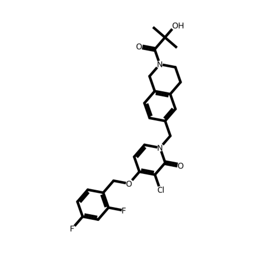 CC(C)(O)C(=O)N1CCc2cc(Cn3ccc(OCc4ccc(F)cc4F)c(Cl)c3=O)ccc2C1